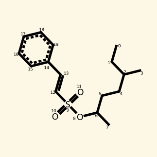 CCC(C)CCC(C)OS(=O)(=O)C=Cc1ccccc1